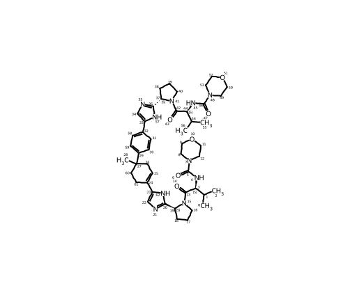 CC(C)[C@H](NC(=O)N1CCOCC1)C(=O)N1CCC[C@H]1c1ncc(C2=CCC(C)(c3ccc(-c4cnc([C@@H]5CCCN5C(=O)[C@@H](NC(=O)N5CCOCC5)C(C)C)[nH]4)cc3)CC2)[nH]1